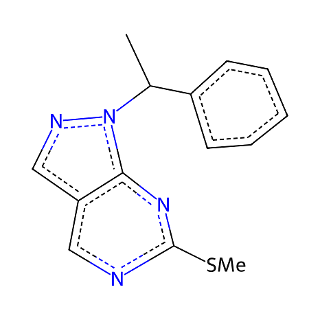 CSc1ncc2cnn(C(C)c3ccccc3)c2n1